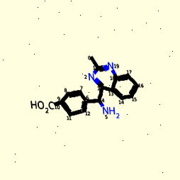 Cc1nc(C(N)c2ccc(C(=O)O)cc2)c2ccccc2n1